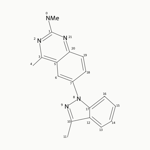 CNc1nc(C)c2cc(-n3nc(C)c4ccccc43)ccc2n1